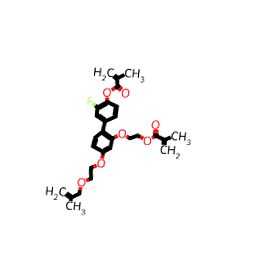 C=C(C)COCCOc1ccc(-c2ccc(OC(=O)C(=C)C)c(F)c2)c(OCCOC(=O)C(=C)C)c1